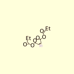 CCC1OC1OC(=O)/C=C\C(=O)OC1OC1CC